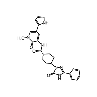 Cn1cc(-c2ccc[nH]2)cc(NC(=O)N2CCC(n3nc(-c4ccccc4)[nH]c3=O)CC2)c1=O